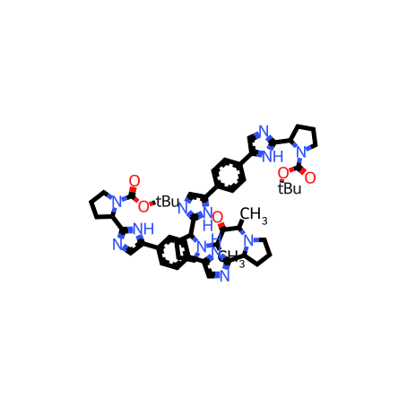 CC(C(=O)C(C)N1CCCC1c1ncc(-c2ccc(-c3cnc(C4CCCN4C(=O)OC(C)(C)C)[nH]3)cc2)[nH]1)N1CCCC1c1ncc(-c2ccc(-c3cnc(C4CCCN4C(=O)OC(C)(C)C)[nH]3)cc2)[nH]1